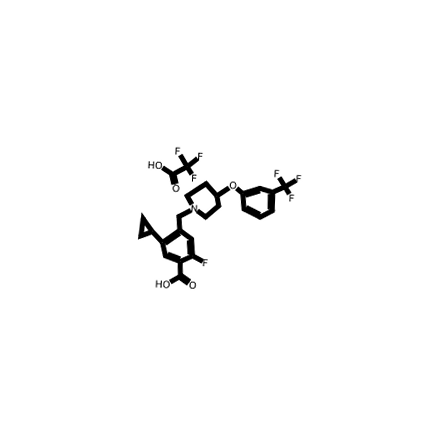 O=C(O)C(F)(F)F.O=C(O)c1cc(C2CC2)c(CN2CCC(Oc3cccc(C(F)(F)F)c3)CC2)cc1F